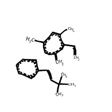 C=Cc1c(C)cc(C)cc1C.CC(C)(C)C=Cc1ccccc1